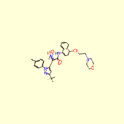 Cc1ccc(-n2nc(C(C)(C)C)cc2C(=NO)C(=O)Nc2ccc(OCCN3CCOCC3)c3ccccc23)cc1